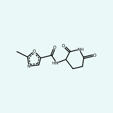 Cc1ncc(C(=O)NC2CCC(=O)NC2=O)o1